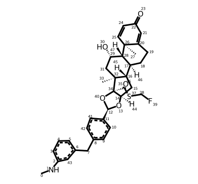 CNc1cccc(Cc2ccc([C@@H]3O[C@@H]4C[C@H]5[C@@H]6CCC7=CC(=O)C=C[C@]7(C)[C@H]6[C@@H](O)C[C@]5(C)[C@]4(C(=O)SCF)O3)cc2)c1